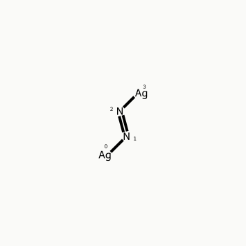 [Ag][N]=[N][Ag]